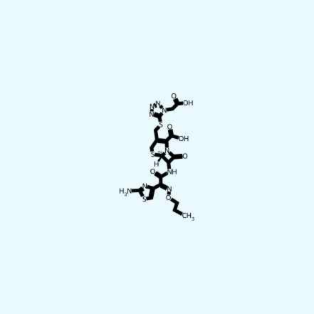 CCCON=C(C(=O)NC1C(=O)N2C(C(=O)O)=C(CSc3nnnn3CC(=O)O)CS[C@@H]12)c1csc(N)n1